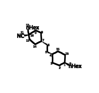 CCCCCC[C@H]1CC[C@H](CC[C@H]2CC[C@@](C#N)(CCCCCC)CC2)CC1